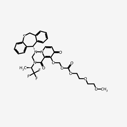 COCCOCCOC(=O)OCOc1c2n(ccc1=O)N([C@H]1c3ccccc3CSc3ccccc31)CN([C@H](C)C(F)(F)F)C2=O